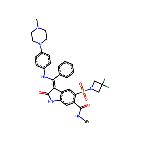 CC(C)NC(=O)c1cc2c(cc1S(=O)(=O)N1CC(F)(F)C1)/C(=C(/Nc1ccc(N3CCN(C)CC3)cc1)c1ccccc1)C(=O)N2